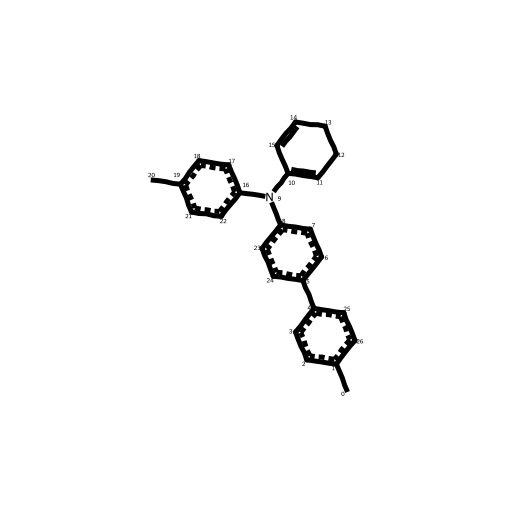 Cc1ccc(-c2ccc(N(C3=CCCC=C3)c3ccc(C)cc3)cc2)cc1